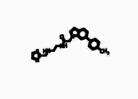 Cc1ccc(-c2ccc3ccn(CC(=O)NCCNCc4nccs4)c3c2)cc1